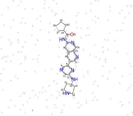 O=C(Nc1cc2cc(-c3cncc(NC4CCNCC4)n3)cnc2cn1)C1CCCC1